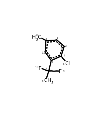 Cc1ccc(Cl)c(C(C)(F)F)c1